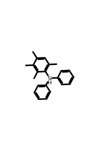 Cc1cc(C)c([SiH](c2ccccc2)c2ccccc2)c(C)c1C